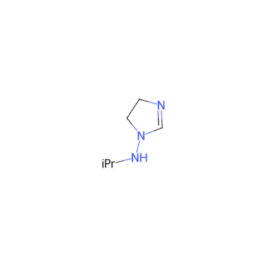 CC(C)NN1C=NCC1